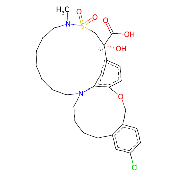 CN1CCCCCCCN2CCCCc3cc(Cl)ccc3COc3ccc(cc32)[C@](O)(C(=O)O)CS1(=O)=O